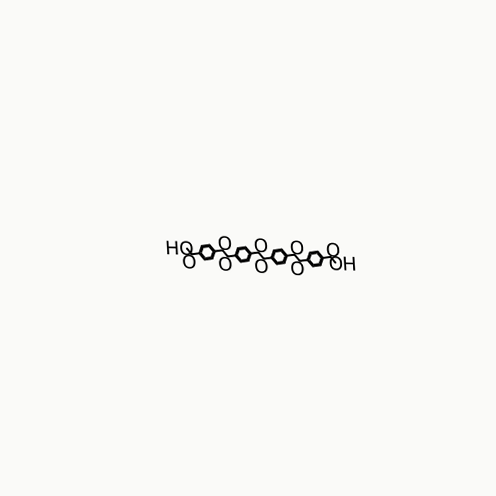 O=C(O)c1ccc(C(=O)C(=O)c2ccc(C(=O)C(=O)c3ccc(C(=O)C(=O)c4ccc(C(=O)O)cc4)cc3)cc2)cc1